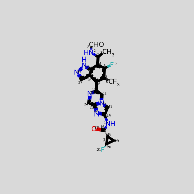 CC(NC=O)c1c(F)c(C(F)(F)F)c(-c2cn3cc(NC(=O)[C@@H]4C[C@@H]4F)nc3cn2)c2cn[nH]c12